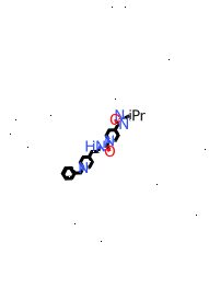 CC(C)c1noc(C2CCN(C(=O)NCCC3CCN(Cc4ccccc4)CC3)CC2)n1